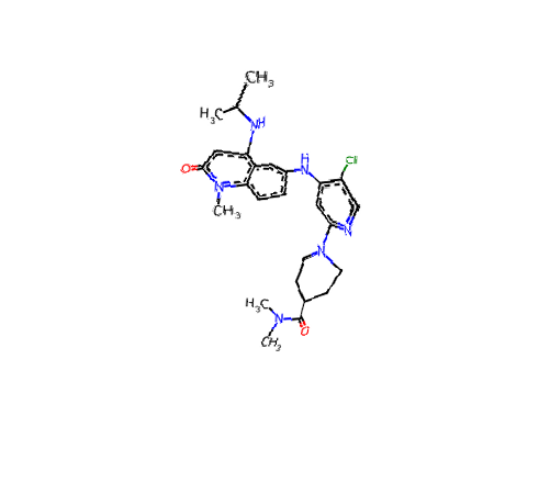 CC(C)Nc1cc(=O)n(C)c2ccc(Nc3cc(N4CCC(C(=O)N(C)C)CC4)ncc3Cl)cc12